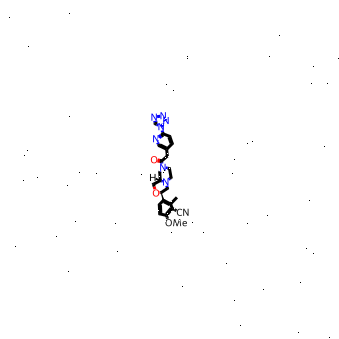 COc1ccc([C@@H]2CN3CCN(C(=O)Cc4ccc(-n5cnnn5)nc4)C[C@H]3CO2)c(C)c1C#N